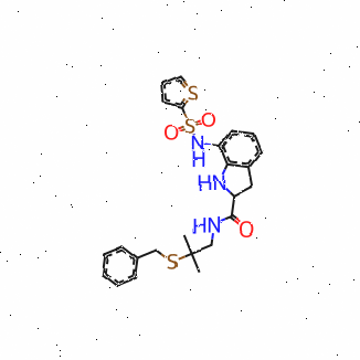 CC(C)(CNC(=O)C1Cc2cccc(NS(=O)(=O)c3cccs3)c2N1)SCc1ccccc1